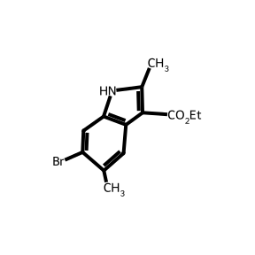 CCOC(=O)c1c(C)[nH]c2cc(Br)c(C)cc12